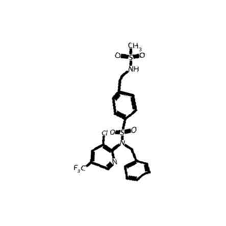 CS(=O)(=O)NCc1ccc(S(=O)(=O)N(Cc2ccccc2)c2ncc(C(F)(F)F)cc2Cl)cc1